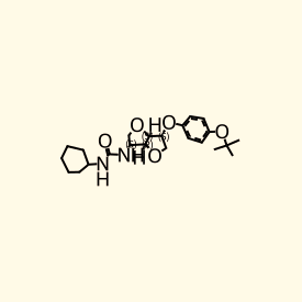 CC(C)(C)Oc1ccc(O[C@H]2CO[C@H]3[C@@H]2OC[C@@H]3NC(=O)NC2CCCCC2)cc1